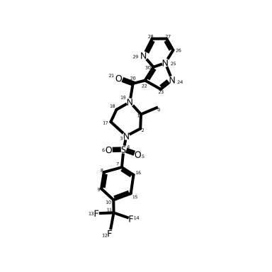 CC1CN(S(=O)(=O)c2ccc(C(F)(F)F)cc2)CCN1C(=O)c1cnn2cccnc12